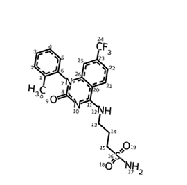 Cc1ccccc1-n1c(=O)nc(NCCCS(N)(=O)=O)c2ccc(C(F)(F)F)cc21